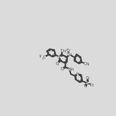 CCS(=O)(=O)c1ccc(CNC(=O)c2cc([S+]([O-])c3ccc(C#N)cc3)c(C)n(-c3cccc(C(F)(F)F)c3)c2=O)nc1